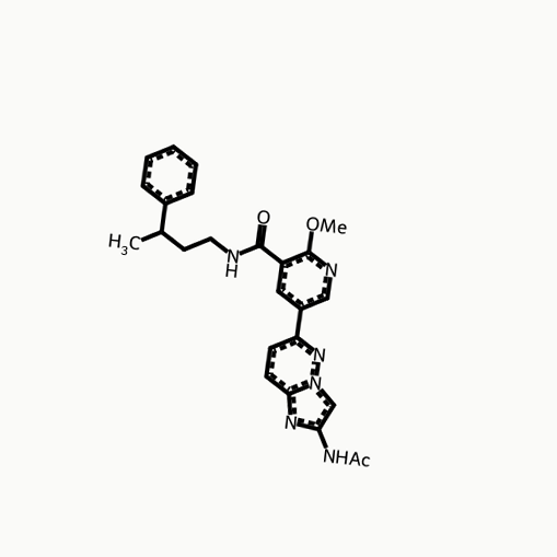 COc1ncc(-c2ccc3nc(NC(C)=O)cn3n2)cc1C(=O)NCCC(C)c1ccccc1